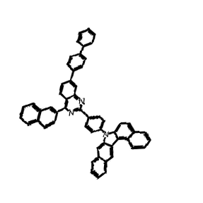 c1ccc(-c2ccc(-c3ccc4c(-c5ccc6ccccc6c5)nc(-c5ccc(-n6c7cc8ccccc8cc7c7c8ccccc8ccc76)cc5)nc4c3)cc2)cc1